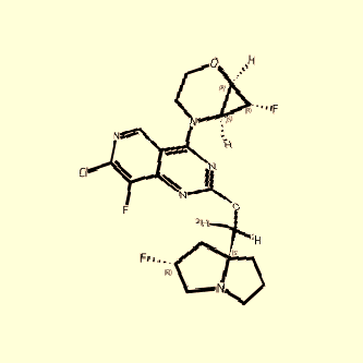 [2H]C([2H])(Oc1nc(N2CCO[C@H]3[C@H](F)[C@H]32)c2cnc(Cl)c(F)c2n1)[C@@]12CCCN1C[C@H](F)C2